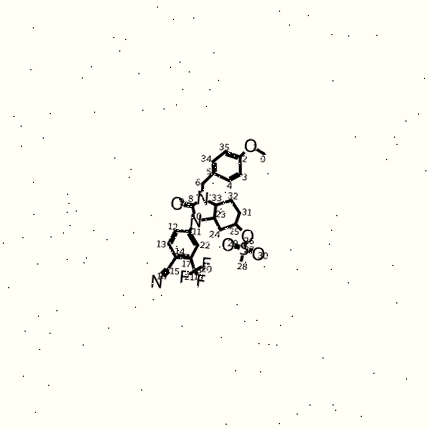 COc1ccc(CN2C(=O)N(c3ccc(C#N)c(C(F)(F)F)c3)C3CC(OS(C)(=O)=O)CCC32)cc1